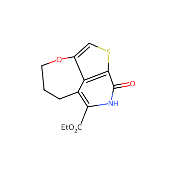 CCOC(=O)c1[nH]c(=O)c2scc3c2c1CCCO3